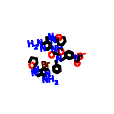 Nc1ncc(Br)c2c1cnn2C1CCCCO1.Nc1ncc(NC(=O)C(=O)N(Cc2ccccc2)Cc2cccc([N+](=O)[O-])c2)c2c1cnn2C1CCCCO1